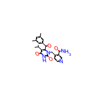 Cc1cc(C)cc(C(=O)c2c(C(C)C)c(=O)[nH]c(=O)n2Cc2ccncc2C(N)=O)c1